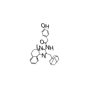 O=C(Cc1ccc(O)cc1)NC1=N[C@]2(I)CCc3ccccc3C2N=C1CC12CC3CC(CC(C3)C1)C2